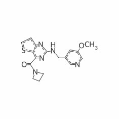 COc1cncc(CNc2nc(C(=O)N3CCC3)c3sccc3n2)c1